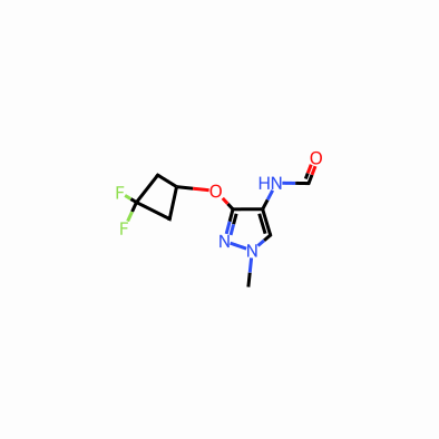 Cn1cc(NC=O)c(OC2CC(F)(F)C2)n1